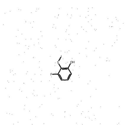 Oc1cccc(F)c1SI